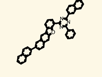 c1ccc(-c2nc(-c3ccc4ccccc4c3)nc(-c3cccc4c3oc3cc5ccc(-c6ccc7ccccc7c6)cc5cc34)n2)cc1